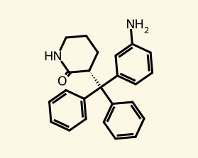 Nc1cccc(C(c2ccccc2)(c2ccccc2)[C@H]2CCCNC2=O)c1